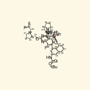 CC1Oc2nc(-c3cc(NC(=O)OC(C)(C)C)cc4cccc(C#C[Si](C(C)C)(C(C)C)C(C)C)c34)c(F)c3nc(OC[C@@H]4CCCN4CC(F)F)nc(c23)N2CC3CCC(C12)N3C(=O)O